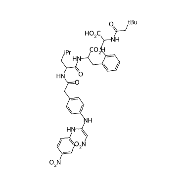 CC(C)CC(NC(=O)Cc1ccc(NC(=C[N+](=O)[O-])Nc2ccc([N+](=O)[O-])cc2)cc1)C(=O)NC(Cc1ccccc1CC(NC(=O)CC(C)(C)C)C(=O)O)C(=O)O